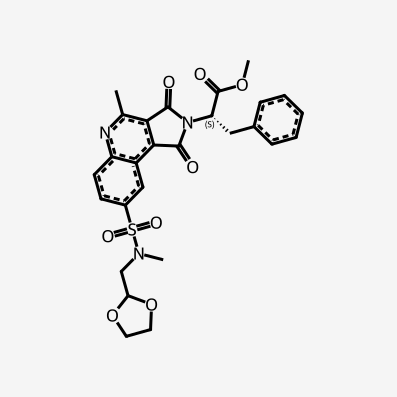 COC(=O)[C@H](Cc1ccccc1)N1C(=O)c2c(C)nc3ccc(S(=O)(=O)N(C)CC4OCCO4)cc3c2C1=O